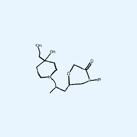 CC(CC1CN(C(C)C)C(=O)CO1)N1CCC(O)(CO)CC1